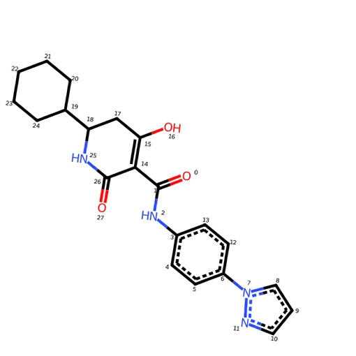 O=C(Nc1ccc(-n2cccn2)cc1)C1=C(O)CC(C2CCCCC2)NC1=O